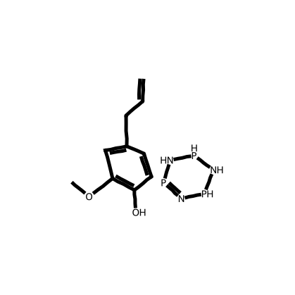 C=CCc1ccc(O)c(OC)c1.n1p[nH][pH][nH][pH]1